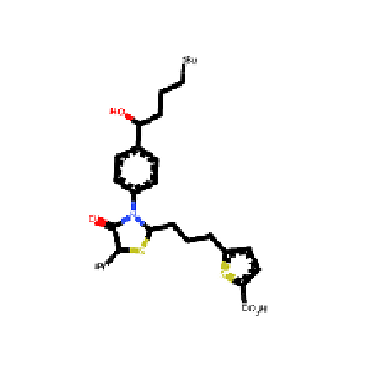 CC(C)C1SC(CCCc2ccc(C(=O)O)s2)N(c2ccc(C(O)CCCC(C)(C)C)cc2)C1=O